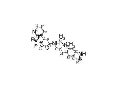 CN(C)[C@H](CNC(=O)CC(c1cccnc1)C1(C(F)(F)F)CC1)Cc1ccc2[nH]ncc2c1